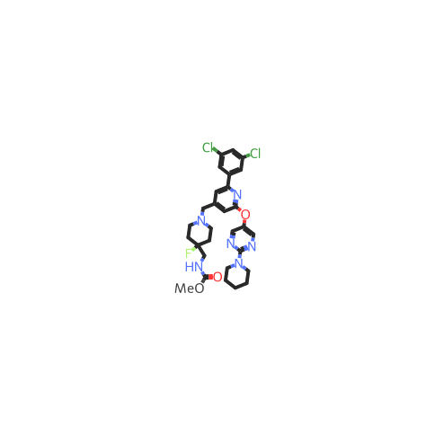 COC(=O)NCC1(F)CCN(Cc2cc(Oc3cnc(N4CCCCC4)nc3)nc(-c3cc(Cl)cc(Cl)c3)c2)CC1